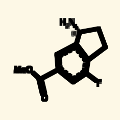 COC(=O)c1cc(F)c2c(c1)[C@H](N)CC2